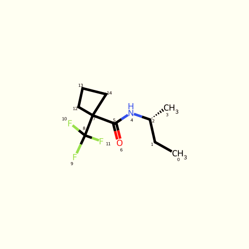 CC[C@@H](C)NC(=O)C1(C(F)(F)F)CCC1